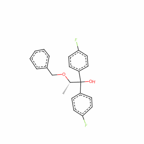 C[C@H](OCc1ccccc1)C(O)(c1ccc(F)cc1)c1ccc(F)cc1